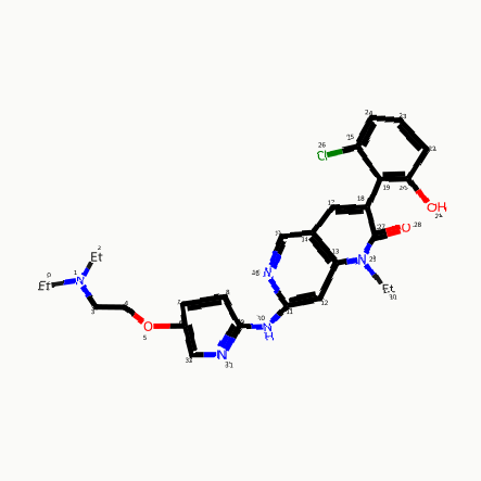 CCN(CC)CCOc1ccc(Nc2cc3c(cn2)cc(-c2c(O)cccc2Cl)c(=O)n3CC)nc1